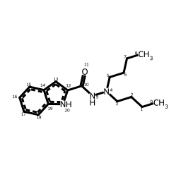 CCCCN(CCCC)NC(=O)c1cc2ccccc2[nH]1